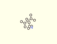 c1ccc(-c2cc(-c3ccccc3)cc(-c3c4ccccc4c(-c4cc(-c5ccccc5)cc(-c5ccccc5)c4)c4cc(-c5cc6ccccc6c6ncccc56)ccc34)c2)cc1